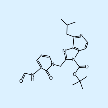 CC(C)Cc1nccc2c1nc(Cn1cccc(NC=O)c1=O)n2C(=O)OC(C)(C)C